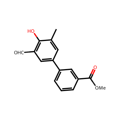 COC(=O)c1cccc(-c2cc(C)c(O)c(C=O)c2)c1